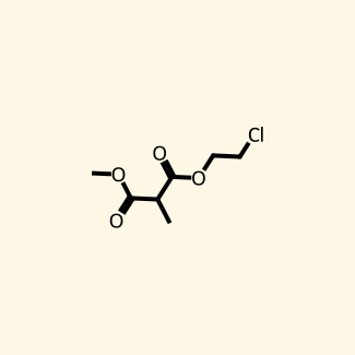 COC(=O)C(C)C(=O)OCCCl